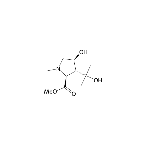 COC(=O)[C@@H]1[C@@H](C(C)(C)O)[C@H](O)CN1C